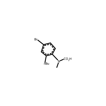 CCCCc1cc(Br)ccc1N(C)C(=O)O